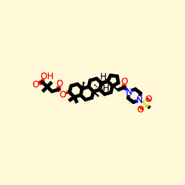 CC(C)(CC(=O)O[C@H]1CC[C@@]2(C)C(CC[C@]3(C)C2CC[C@@H]2[C@H]4CCC[C@]4(CC(=O)N4CCN(S(C)(=O)=O)CC4)CC[C@]23C)C1(C)C)C(=O)O